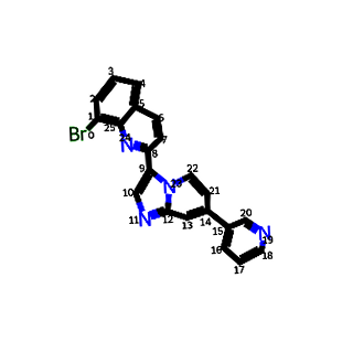 Brc1cccc2ccc(-c3cnc4cc(-c5cccnc5)ccn34)nc12